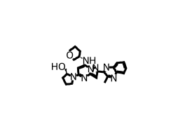 Cc1nc2ccccc2nc1-c1cc2nc(N3CCC[C@H]3CO)cc(N[C@H]3CCCOC3)n2n1